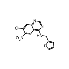 O=[N+]([O-])c1cc2c(NCc3ccco3)ncnc2cc1Cl